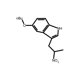 CCCCOc1ccc2[nH]cc(CC(C)[N+](=O)[O-])c2c1